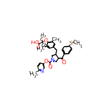 CSc1ccc(C(=O)C2CN(C(=O)Oc3ccc(C)nc3)CC2Cc2cc(C)c(OC(C)(C)C(=O)O)c(C)c2)cc1